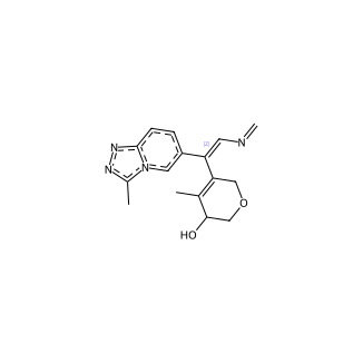 C=N/C=C(\C1=C(C)C(O)COC1)c1ccc2nnc(C)n2c1